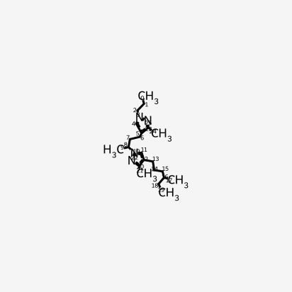 CCCn1cc(CCC(C)n2cc(CCCC(C)CC)c(C)n2)c(C)n1